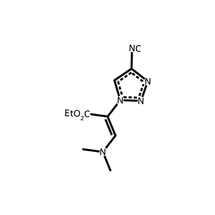 [C-]#[N+]c1cn(C(=CN(C)C)C(=O)OCC)nn1